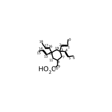 CC=CC1(C=CC)CC(CC(=O)O)CC(C=CC)(C=CC)C1